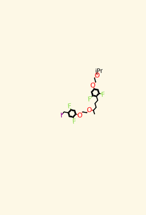 CC(C)OCCOc1cc(F)c(CCCC(C)OCCOc2cc(F)c(CI)cc2F)c(F)c1